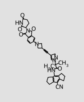 CC(C)(C(=O)Nc1c2c(c(C#N)c3c1CCC3)CCC2)n1cc(C#CC2CN(c3ccc4c(c3)C(=O)N(C3CCC(=O)NC3=O)C4=O)C2)cn1